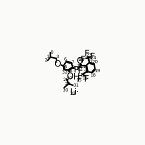 CC(C)COc1ccc(PC(=O)c2c(C(F)(F)F)cccc2C(F)(F)F)c(OCC(C)C)c1.[Li]